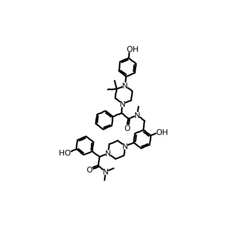 CN(C)C(=O)C(c1cccc(O)c1)N1CCN(c2ccc(O)c(CN(C)C(=O)C(c3ccccc3)N3CCN(c4ccc(O)cc4)C(C)(C)C3)c2)CC1